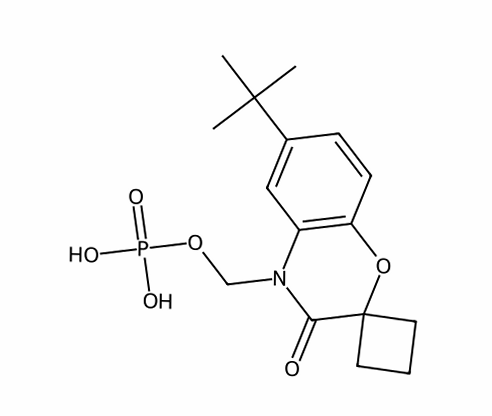 CC(C)(C)c1ccc2c(c1)N(COP(=O)(O)O)C(=O)C1(CCC1)O2